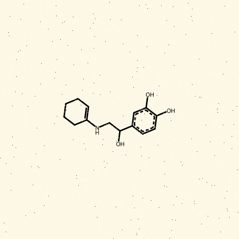 Oc1ccc(C(O)CNC2=CCCCC2)cc1O